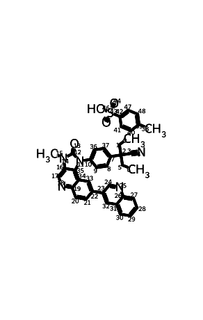 CCC(C#N)(CC)c1ccc(-n2c(=O)n(C)c3cnc4ccc(-c5cnc6ccccc6c5)cc4c32)cc1.Cc1ccc(S(=O)(=O)O)cc1